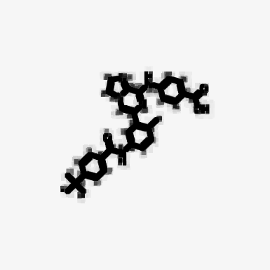 Cc1ccc(NC(=O)c2ccc(C(C)(C)C)cc2)cc1-c1cn2ccnc2c(Nc2ccc(C(=O)O)cc2)n1